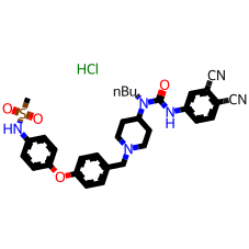 CCCCN(C(=O)Nc1ccc(C#N)c(C#N)c1)C1CCN(Cc2ccc(Oc3ccc(NS(C)(=O)=O)cc3)cc2)CC1.Cl